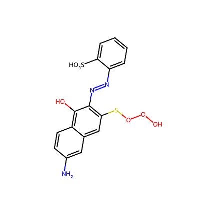 Nc1ccc2c(O)c(N=Nc3ccccc3S(=O)(=O)O)c(SOOO)cc2c1